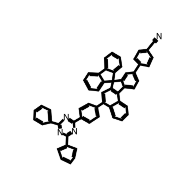 N#Cc1ccc(-c2ccc3c(c2)C2(c4ccccc4-c4ccccc42)c2cc(-c4ccc(-c5nc(-c6ccccc6)nc(-c6ccccc6)n5)cc4)c4ccccc4c2-3)cc1